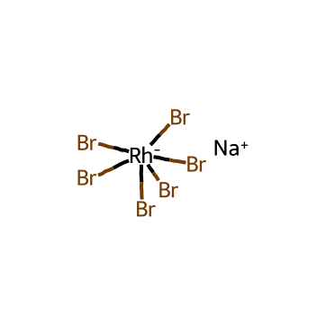 [Br][Rh-]([Br])([Br])([Br])([Br])[Br].[Na+]